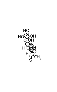 CC(C)CCC[C@@H](C)[C@H]1CC[C@H]2[C@@H]3CC=C4C[C@@H](O[C@@H]5[C@@H](O)[C@H](O)[C@@H](CO)O[C@H]5O)CC[C@]4(C)[C@H]3CC[C@]12C